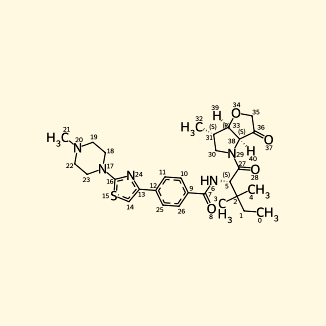 CCC(C)(C)[C@H](NC(=O)c1ccc(-c2csc(N3CCN(C)CC3)n2)cc1)C(=O)N1C[C@H](C)[C@H]2OCC(=O)[C@H]21